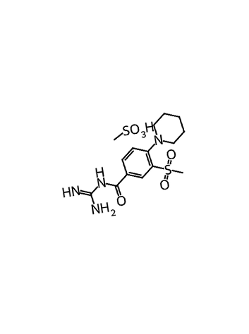 CS(=O)(=O)O.CS(=O)(=O)c1cc(C(=O)NC(=N)N)ccc1N1CCCCC1